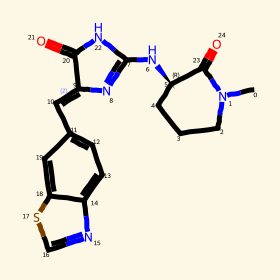 CN1CCC[C@@H](NC2=N/C(=C\c3ccc4ncsc4c3)C(=O)N2)C1=O